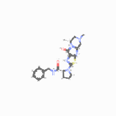 C[C@@H]1CN(C)Cc2nc3sc(N4CCC[C@@H]4C(=O)NCc4ccccc4)nc3c(=O)n21